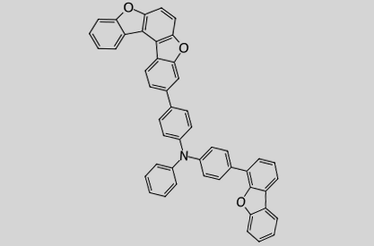 c1ccc(N(c2ccc(-c3ccc4c(c3)oc3ccc5oc6ccccc6c5c34)cc2)c2ccc(-c3cccc4c3oc3ccccc34)cc2)cc1